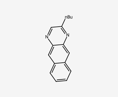 CCCCc1cnc2cc3ccccc3cc2n1